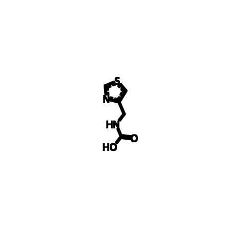 O=C(O)NCc1cscn1